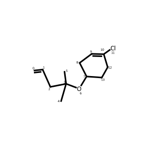 C=CCC(C)(C)OC1CC=C(Cl)CC1